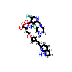 CN1CCN(Cc2ncc(F)c(C(=O)N[C@@H](CCOC3CC(CCc4ccc5c(n4)NCCC5)C3)C(=O)O)c2Cl)CC1